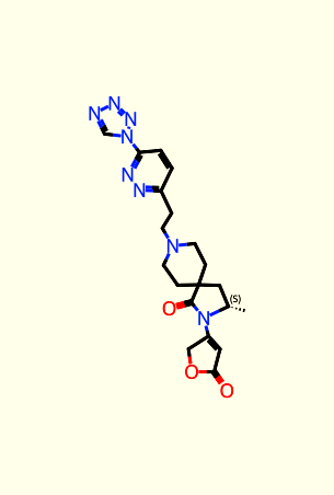 C[C@H]1CC2(CCN(CCc3ccc(-n4cnnn4)nn3)CC2)C(=O)N1C1=CC(=O)OC1